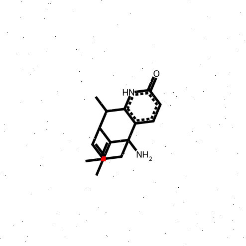 C/C=C1\C2C=C(C)CC1(N)c1ccc(=O)[nH]c1C2C